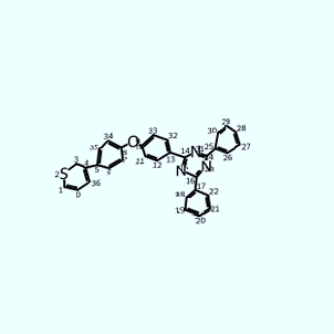 C1=CSCC(c2ccc(Oc3ccc(-c4nc(-c5ccccc5)nc(-c5ccccc5)n4)cc3)cc2)=C1